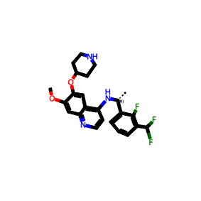 COc1cc2nccc(N[C@H](C)c3cccc(C(F)F)c3F)c2cc1OC1CCNCC1